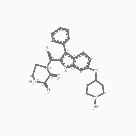 CC(C)N1CCC(Oc2ccc3c(-c4ccccc4)c(C(=O)N4CC[SH4]C(=O)C4=O)oc3c2)CC1